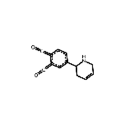 O=C=c1ccc(C2CC=CCN2)cc1=C=O